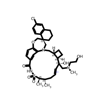 C[C@@H]1[C@@H](C)C/C=C/[C@](O)(CN(C)CCO)[C@@H]2CC[C@H]2CN2C[C@@]3(CCCc4cc(Cl)ccc43)COc3ccc(cc32)C(=O)NS1(=O)=O